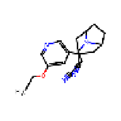 CCOc1cncc(C2(C#N)CC3CCC(C2)N3CCC#N)c1